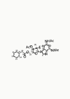 CNc1nc(NC(C)=O)nc2c1ncn2[C@@H]1O[C@H](COC(=O)Cc2ccccc2)[C@@H](OC(C)=O)[C@@]1(C)F